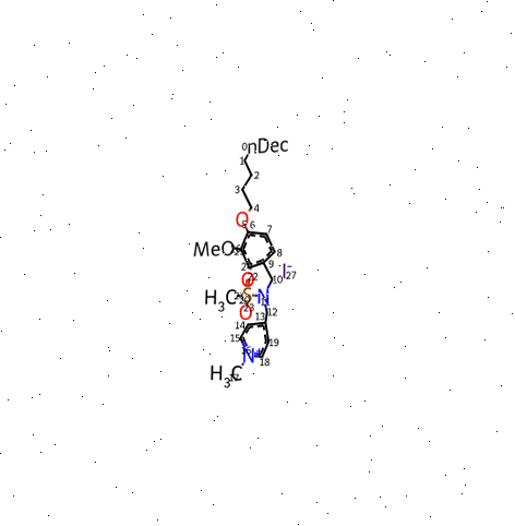 CCCCCCCCCCCCCCOc1ccc(CN(Cc2cc[n+](C)cc2)S(C)(=O)=O)cc1OC.[I-]